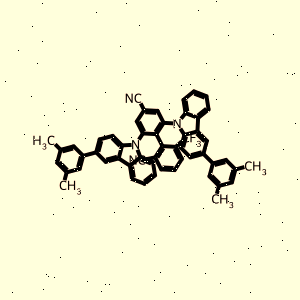 Cc1cc(C)cc(-c2ccc3c(c2)c2ccccc2n3-c2cc(C#N)cc(-n3c4ccccc4c4cc(-c5cc(C)cc(C)c5)ccc43)c2-c2c(C#N)cccc2C(F)(F)F)c1